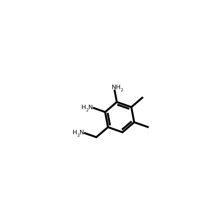 Cc1cc(CN)c(N)c(N)c1C